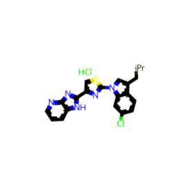 CC(C)Cc1cn(-c2nc(-c3nc4ncccc4[nH]3)cs2)c2cc(Cl)ccc12.Cl